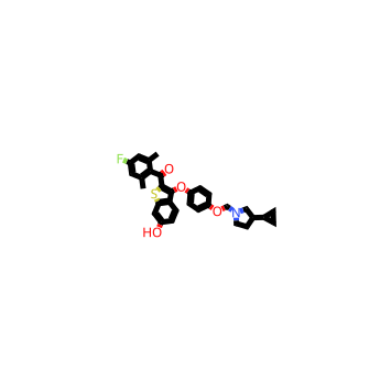 Cc1cc(F)cc(C)c1C(=O)c1sc2cc(O)ccc2c1Oc1ccc(OCN2CCC(C3CC3)C2)cc1